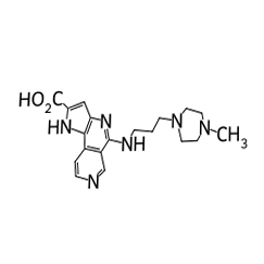 CN1CCN(CCCNc2nc3cc(C(=O)O)[nH]c3c3ccncc23)CC1